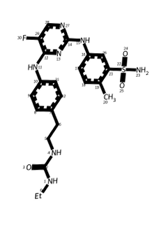 CCNC(=O)NCCc1ccc(Nc2nc(Nc3ccc(C)c(S(N)(=O)=O)c3)ncc2F)cc1